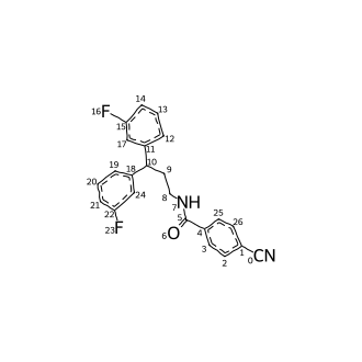 N#Cc1ccc(C(=O)NCCC(c2cccc(F)c2)c2cccc(F)c2)cc1